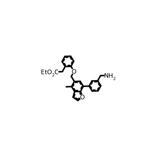 CCOC(=O)Cc1ccccc1OCc1cc(-c2cccc(CN)c2)c2occc2c1C